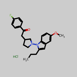 CCCc1cc2cc(OC)ccc2n1N1CCC(CC(=O)c2ccc(F)cc2)C1.Cl